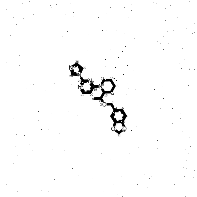 CC(OCc1ccc2c(c1)OCO2)C1CCCCN1c1ccnc(-n2ccnc2)n1